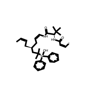 C/C=C\C[C@@H](C/C=C\NC(=O)[C@@H](NC(=O)/C=C\I)C(C)(C)C)CC(C)(C)[Si](O)(c1ccccc1)c1ccccc1